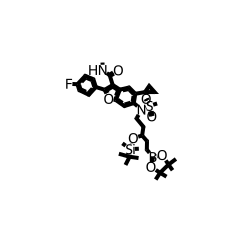 CNC(=O)c1c(-c2ccc(F)cc2)oc2cc(N(CCC(CCB3OC(C)(C)C(C)(C)O3)O[Si](C)(C)C(C)(C)C)S(C)(=O)=O)c(C3CC3)cc12